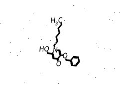 CCCCCCCn1cc(OCc2ccccc2)c(=O)cc1CO